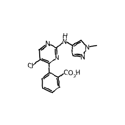 Cn1cc(Nc2ncc(Cl)c(-c3ccccc3C(=O)O)n2)cn1